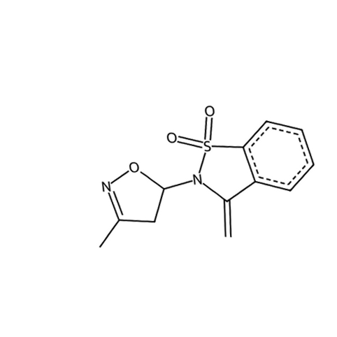 C=C1c2ccccc2S(=O)(=O)N1C1CC(C)=NO1